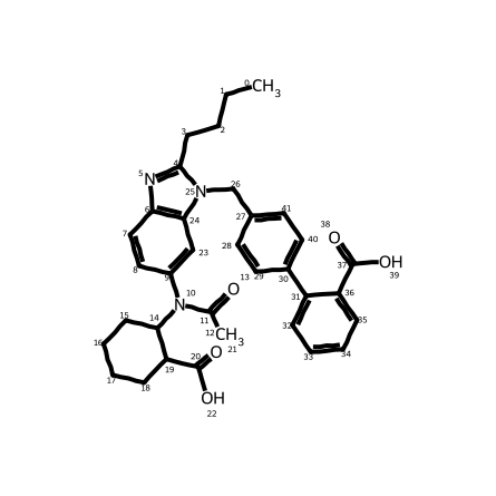 CCCCc1nc2ccc(N(C(C)=O)C3CCCCC3C(=O)O)cc2n1Cc1ccc(-c2ccccc2C(=O)O)cc1